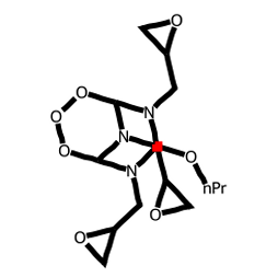 CCCOC1N(CC2CO2)C2OOOC(N1CC1CO1)N2CC1CO1